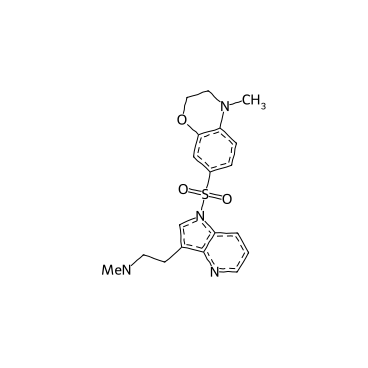 CNCCc1cn(S(=O)(=O)c2ccc3c(c2)OCCN3C)c2cccnc12